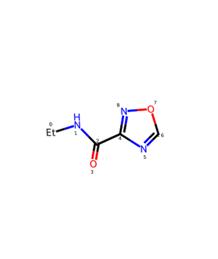 CCNC(=O)c1n[c]on1